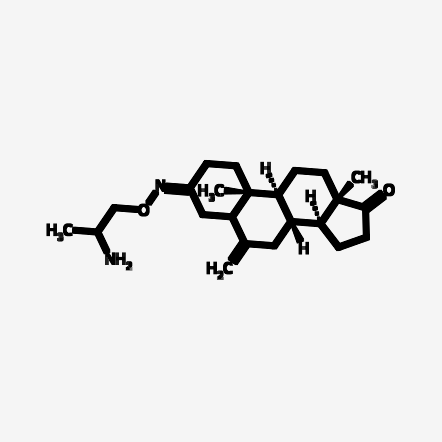 C=C1C[C@@H]2[C@H](CC[C@]3(C)C(=O)CC[C@@H]23)[C@@]2(C)CC/C(=N/OCC(C)N)CC12